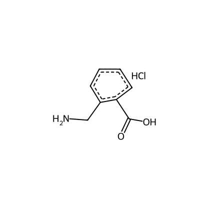 Cl.NCc1ccccc1C(=O)O